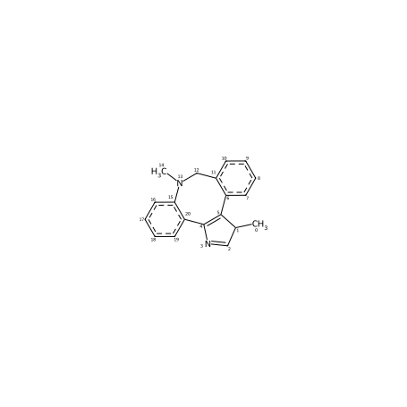 CC1C=NC2=C1c1ccccc1CN(C)c1ccccc12